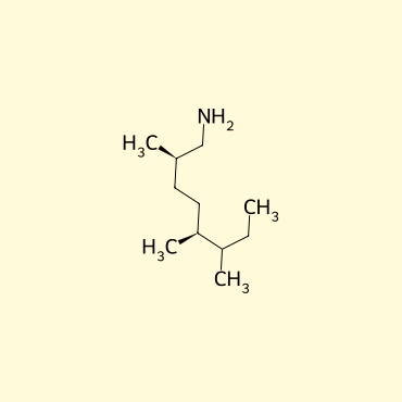 CCC(C)[C@@H](C)CC[C@@H](C)CN